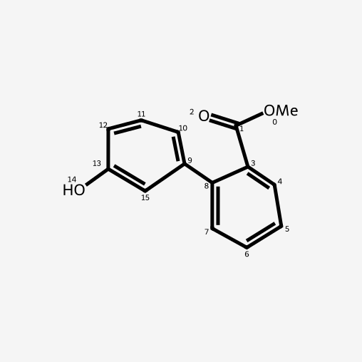 COC(=O)c1ccccc1-c1cccc(O)c1